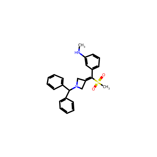 CNc1cccc(C(=C2CN(C(c3ccccc3)c3ccccc3)C2)S(C)(=O)=O)c1